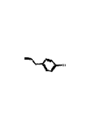 C=CCc1ccc(CC)cc1